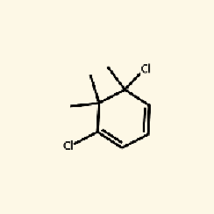 CC1(Cl)C=CC=C(Cl)C1(C)C